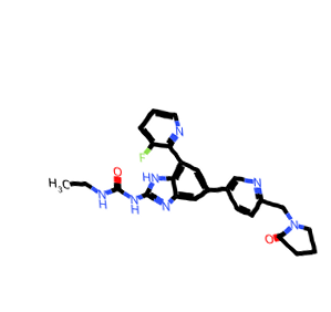 CCNC(=O)Nc1nc2cc(-c3ccc(CN4CCCC4=O)nc3)cc(-c3ncccc3F)c2[nH]1